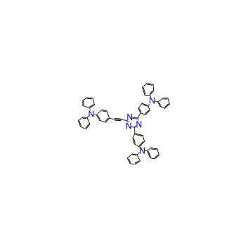 C(#Cc1nc(-c2ccc(N(c3ccccc3)c3ccccc3)cc2)nc(-c2ccc(N(c3ccccc3)c3ccccc3)cc2)n1)c1ccc(N(c2ccccc2)c2ccccc2)cc1